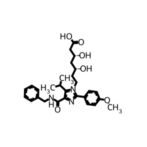 COc1ccc(-c2nc(C(=O)NCc3ccccc3)c(C(C)C)n2CC[C@@H](O)C[C@@H](O)CC(=O)O)cc1